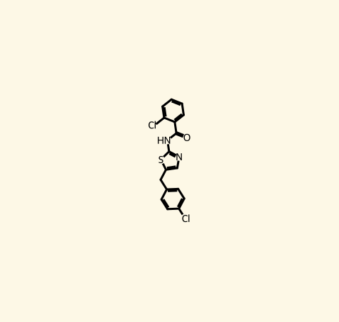 O=C(Nc1ncc(Cc2ccc(Cl)cc2)s1)c1ccccc1Cl